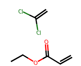 C=C(Cl)Cl.C=CC(=O)OCC